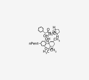 CCCCCc1cc(O)c2c(c1)OC(C)(C)[C@@H]1CCC(C)=C[C@@H]21.CN1[C@@H]2CC[C@H]1C[C@@H](OC(=O)C(O)c1ccccc1)C2